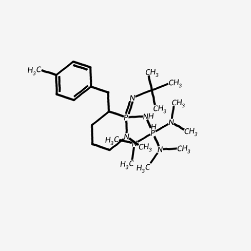 Cc1ccc(CC2CCCN(C)P2(=NC(C)(C)C)N[PH](N(C)C)(N(C)C)N(C)C)cc1